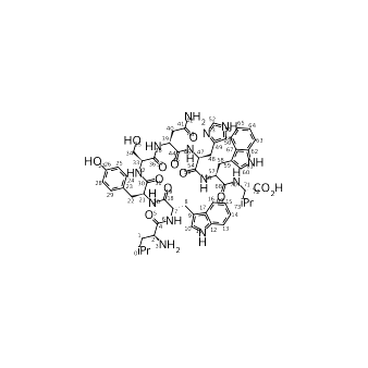 CC(C)C[C@H](N)C(=O)N[C@@H](Cc1c[nH]c2ccccc12)C(=O)N[C@@H](Cc1ccc(O)cc1)C(=O)N[C@@H](CO)C(=O)N[C@@H](CC(N)=O)C(=O)N[C@@H](Cc1c[nH]cn1)C(=O)N[C@@H](Cc1c[nH]c2ccccc12)C(=O)N[C@H](C(=O)O)C(C)C